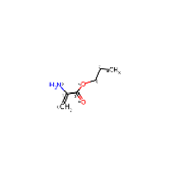 C=C(N)C(=O)OCCC